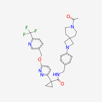 CC(=O)N1CCC2(CC1)CN(c1ccc(CNC(=O)C3(c4ccc(OCc5ccc(C(F)(F)F)nc5)nn4)CC3)cc1)C2